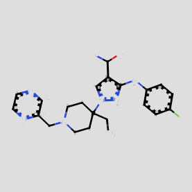 N#CCC1(n2cc(C(N)O)c(Nc3ccc(F)cc3)n2)CCN(Cc2cnccn2)CC1